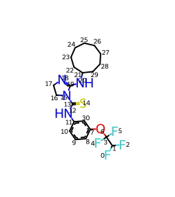 FC(F)C(F)(F)Oc1cccc(NC(=S)N2CCN=C2NC2CCCCCCCC2)c1